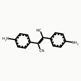 N#C/C(=C(/C#N)c1ccc(N)cc1)c1ccc(N)cc1